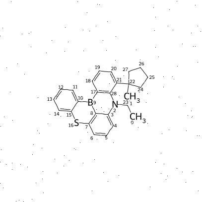 CCN1c2cccc3c2B(c2ccccc2S3)c2cccc(C3(C)CCCC3)c21